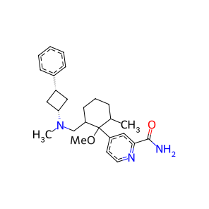 COC1(c2ccnc(C(N)=O)c2)C(C)CCCC1CN(C)[C@H]1C[C@@H](c2ccccc2)C1